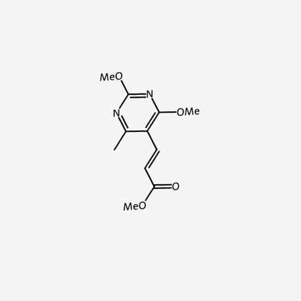 COC(=O)C=Cc1c(C)nc(OC)nc1OC